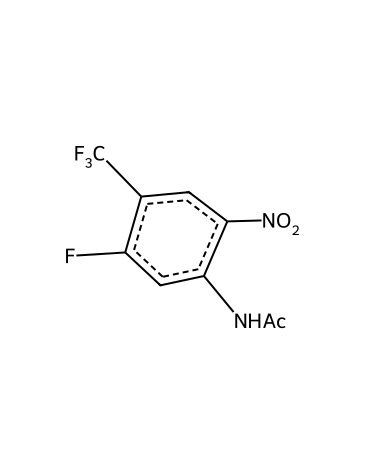 CC(=O)Nc1cc(F)c(C(F)(F)F)cc1[N+](=O)[O-]